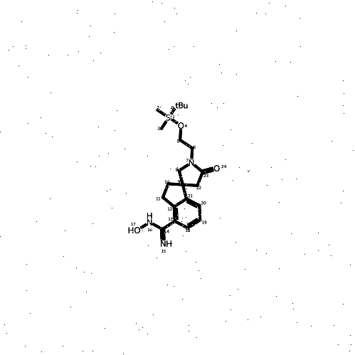 CC(C)(C)[Si](C)(C)OCCN1CC2(CCc3c(C(=N)NO)cccc32)CC1=O